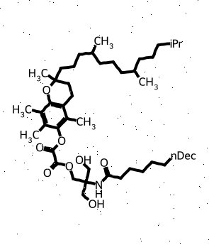 CCCCCCCCCCCCCCCC(=O)NC(CO)(CO)COC(=O)C(=O)Oc1c(C)c(C)c2c(c1C)CCC(C)(CCCC(C)CCCC(C)CCCC(C)C)O2